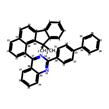 CC1(C)c2ccccc2-c2ccc3cccc(-c4nc(-c5ccc(-c6ccccc6)cc5)nc5ccccc45)c3c21